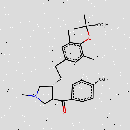 CSc1ccc(C(=O)[C@H]2CN(C)C[C@@H]2CCc2cc(C)c(OC(C)(C)C(=O)O)c(C)c2)cc1